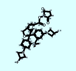 C[Si]1(C)c2cc(N3CC(F)C3)ccc2C2(OCc3ccc(C(=O)ON4C(=O)CCC4=O)cc32)c2ccc(N3CC(F)C3)cc21